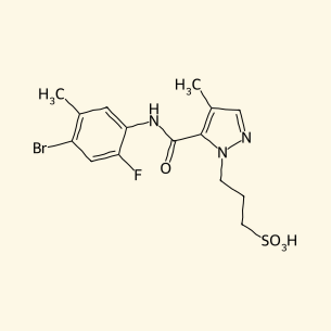 Cc1cc(NC(=O)c2c(C)cnn2CCCS(=O)(=O)O)c(F)cc1Br